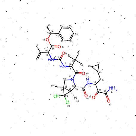 C=C(C)[C@H](NC(=O)N[C@H](C(=O)N1C[C@H]2[C@@H]([C@H]1C(=O)NC(CC1CC1)C(=O)C(N)=O)C2(Cl)Cl)C(C)(C)C)C(=O)O[C@@H](C)c1ccccc1